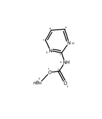 CCCCOC(=O)Nc1ncccn1